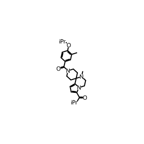 Cc1cc(C(=O)N2CCC3(CC2)c2ccc(C(=O)C(C)C)n2CCN3C)ccc1OC(C)C